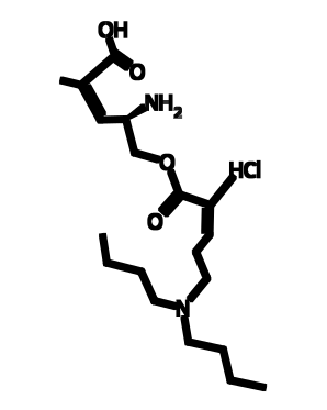 CCCCN(CCC=C(C)C(=O)OC[C@H](N)C=C(C)C(=O)O)CCCC.Cl